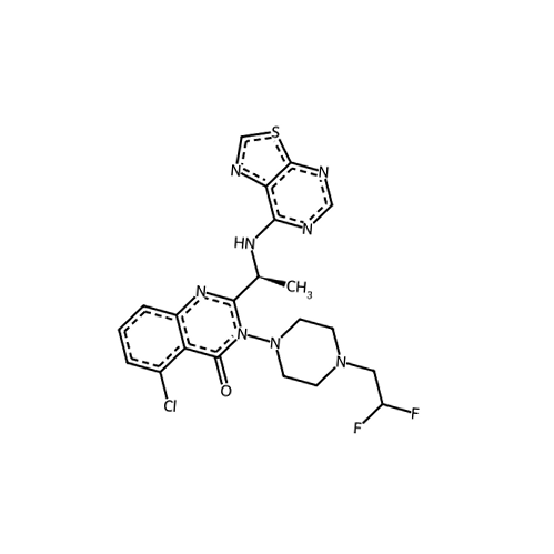 C[C@H](Nc1ncnc2scnc12)c1nc2cccc(Cl)c2c(=O)n1N1CCN(CC(F)F)CC1